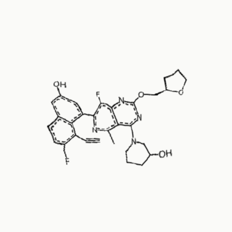 C#Cc1c(F)ccc2cc(O)cc(-c3nc(C)c4c(N5CCCC(O)C5)nc(OC[C@H]5CCCO5)nc4c3F)c12